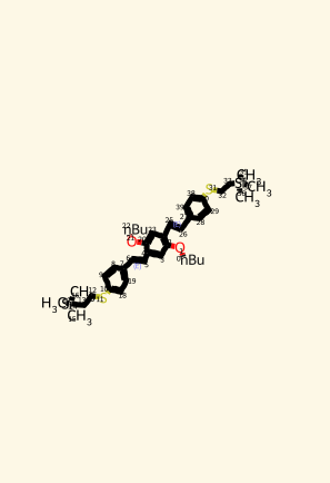 CCCCOc1cc(/C=C/c2ccc(SCC[Si](C)(C)C)cc2)c(OCCCC)cc1/C=C/c1ccc(SCC[Si](C)(C)C)cc1